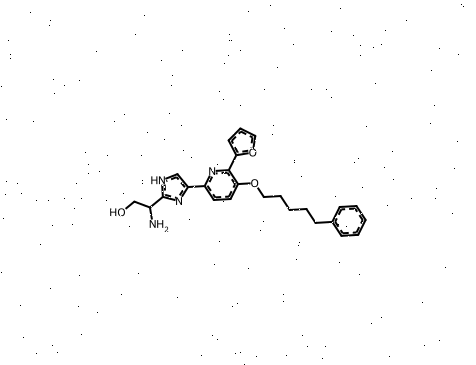 NC(CO)c1nc(-c2ccc(OCCCCCc3ccccc3)c(-c3ccco3)n2)c[nH]1